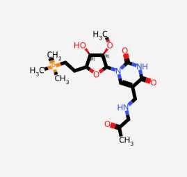 C=P(C)(C)CCC1OC(n2cc(CNCC(C)=O)c(=O)[nH]c2=O)[C@H](OC)[C@@H]1O